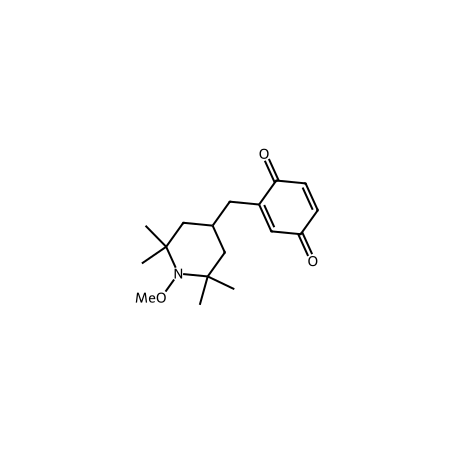 CON1C(C)(C)CC(CC2=CC(=O)C=CC2=O)CC1(C)C